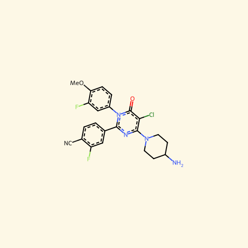 COc1ccc(-n2c(-c3ccc(C#N)c(F)c3)nc(N3CCC(N)CC3)c(Cl)c2=O)cc1F